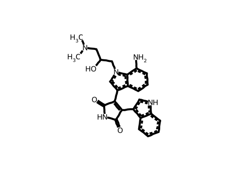 CN(C)CC(O)Cn1cc(C2=C(c3c[nH]c4ccccc34)C(=O)NC2=O)c2cccc(N)c21